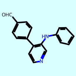 O=Cc1ccc(-c2ccncc2Nc2ccccc2)cc1